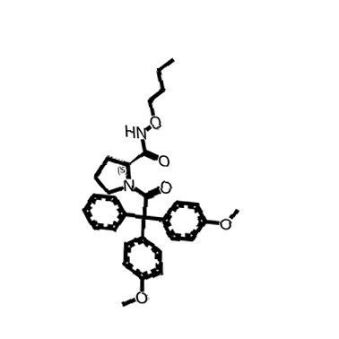 CCCCONC(=O)[C@@H]1CCCN1C(=O)C(c1ccccc1)(c1ccc(OC)cc1)c1ccc(OC)cc1